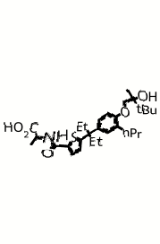 CCCc1cc(C(CC)(CC)c2ccc(C(=O)N[C@@H](C)C(=O)O)s2)ccc1OCC(C)(O)C(C)(C)C